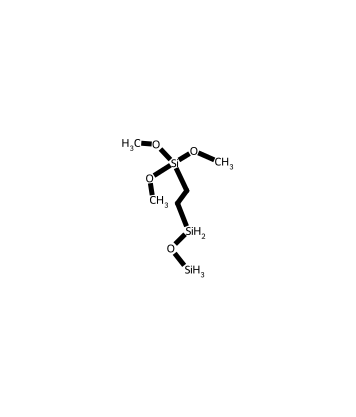 CO[Si](CC[SiH2]O[SiH3])(OC)OC